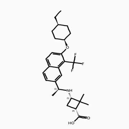 CC[C@H]1CC[C@@H](Oc2ccc3ccc([C@H](C)N[C@H]4C[C@@H](C(=O)O)C4(C)C)cc3c2C(F)(F)F)CC1